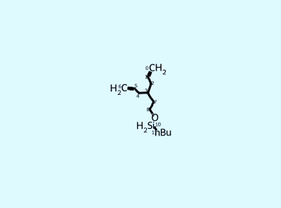 C=CCC(CC=C)CCO[SiH2]CCCC